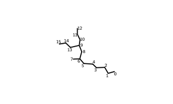 CCCCCCC(C)CC(CCC)CCC